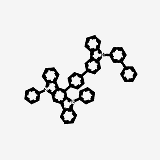 c1ccc(-c2cccc(-n3c4ccccc4c4cc(-c5ccc(-c6c7c8ccccc8n(-c8ccccc8)c7cc7c8ccccc8n(-c8ccccc8)c67)cc5)ccc43)c2)cc1